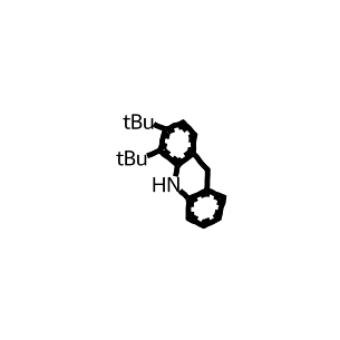 CC(C)(C)c1ccc2c(c1C(C)(C)C)Nc1ccccc1C2